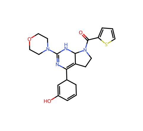 O=C(c1cccs1)N1CCC2=C(C3C=C(O)C=CC3)N=C(N3CCOCC3)NC21